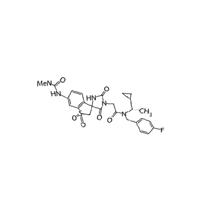 CNC(=O)Nc1ccc2c(c1)S(=O)(=O)CC21NC(=O)N(CC(=O)N(Cc2ccc(F)cc2)[C@@H](C)C2CC2)C1=O